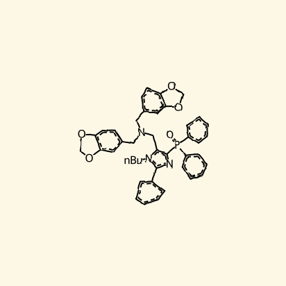 CCCCn1c(-c2ccccc2)nc(P(=O)(c2ccccc2)c2ccccc2)c1CN(Cc1ccc2c(c1)OCO2)Cc1ccc2c(c1)OCO2